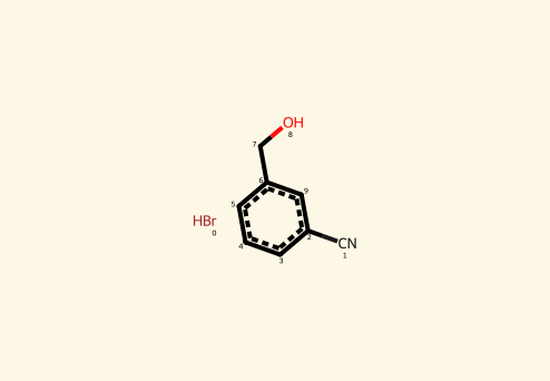 Br.N#Cc1cccc(CO)c1